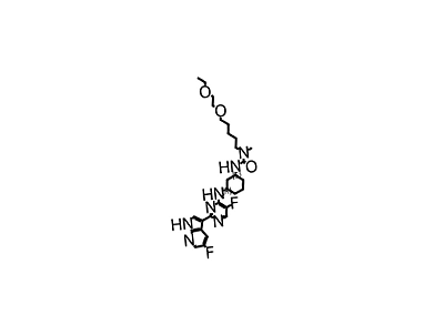 CCOCCOCCCCCN(C)C(=O)N[C@H]1CCC[C@@H](Nc2nc(-c3c[nH]c4ncc(F)cc34)ncc2F)C1